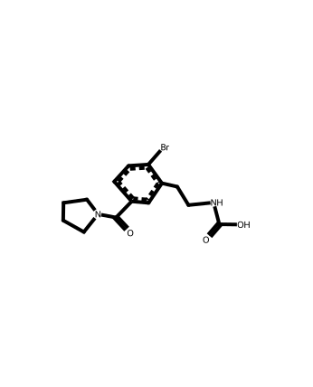 O=C(O)NCCc1cc(C(=O)N2CCCC2)ccc1Br